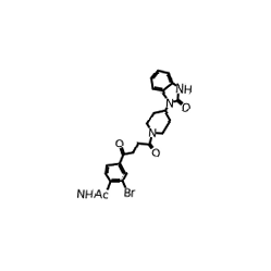 CC(=O)Nc1ccc(C(=O)CCC(=O)N2CCC(n3c(=O)[nH]c4ccccc43)CC2)cc1Br